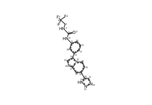 O=C(NCC(F)(F)F)Nc1cccc(-c2cnc3cc(-c4cnn[nH]4)ccn23)c1